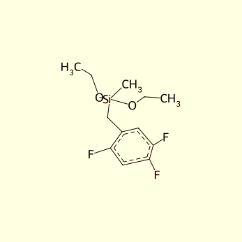 CCO[Si](C)(Cc1cc(F)c(F)cc1F)OCC